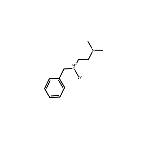 CN(C)CC[NH+]([O-])Cc1ccccc1